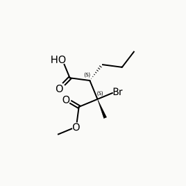 CCC[C@@H](C(=O)O)[C@](C)(Br)C(=O)OC